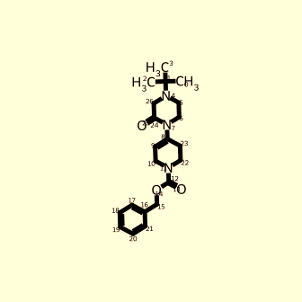 CC(C)(C)N1CCN(C2=CCN(C(=O)OCc3ccccc3)CC2)C(=O)C1